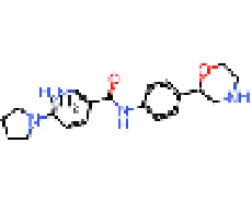 C=C(/C=C\C(=C/N)C(=O)Nc1ccc(C2CNCCO2)cc1)N1CCCC1